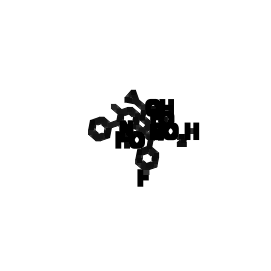 Cc1ccc(C(O)(Cc2ccc(F)cc2)C(CCC2CC2)(C(=O)O)[PH](=O)O)nc1-c1ccccc1